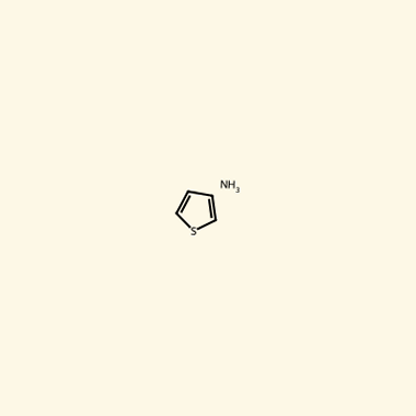 N.c1ccsc1